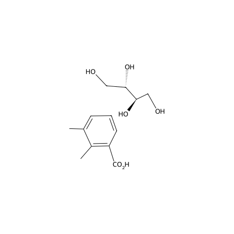 Cc1cccc(C(=O)O)c1C.OC[C@@H](O)[C@@H](O)CO